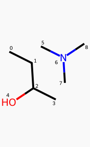 CCC(C)O.CN(C)C